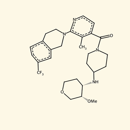 CO[C@@H]1COCC[C@@H]1NC1CCN(C(=O)c2ccnc(N3CCc4ccc(C(F)(F)F)cc4C3)c2C)CC1